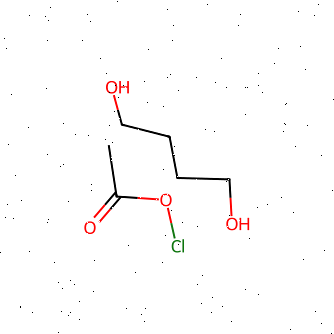 CC(=O)OCl.OCCCCO